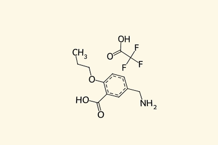 CCCOc1ccc(CN)cc1C(=O)O.O=C(O)C(F)(F)F